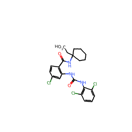 O=C(O)CC1(NC(=O)c2ccc(Cl)cc2NC(=O)Nc2c(Cl)cccc2Cl)CCCCC1